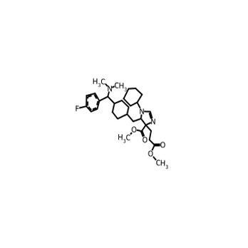 COC(=O)CCC1(C(=O)OC)N=CN(C2CCCCC2)C1CC1CCC(C(c2ccc(F)cc2)N(C)C)CC1